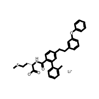 CSCC[C@H](NC(=O)c1ccc(CCc2cccc(Oc3ccccc3)c2)cc1-c1ccccc1C)C(=O)[O-].[Li+]